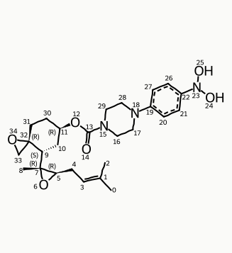 CC(C)=CC[C@H]1O[C@]1(C)[C@H]1C[C@H](OC(=O)N2CCN(c3ccc(N(O)O)cc3)CC2)CC[C@]12CO2